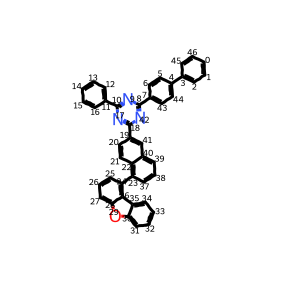 c1ccc(-c2ccc(-c3nc(-c4ccccc4)nc(-c4ccc5c(-c6cccc7oc8ccccc8c67)cccc5c4)n3)cc2)cc1